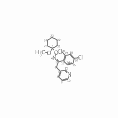 COC1(O/N=C(/Cc2cccnc2)c2ccc(Cl)cc2Cl)CCCCC1